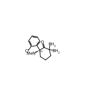 BC1(B)CCC[C@](NC)(c2ccccc2Cl)C1=O